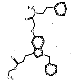 CCOC(=O)CCc1cn(Cc2ccccc2)c2ccc(OCC(=O)N(C)CCc3ccccc3)cc12